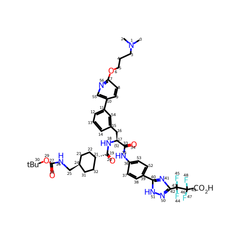 CN(C)CCCOc1ccc(-c2cccc(C[C@H](NC(=O)[C@H]3CC[C@H](CNC(=O)OC(C)(C)C)CC3)C(=O)Nc3ccc(-c4nc(C(F)(F)C(F)(F)C(=O)O)n[nH]4)cc3)c2)cn1